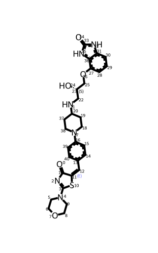 O=C1N=C(N2CCOCC2)S/C1=C/c1ccc(N2CCC(NC[C@H](O)COc3cccc4[nH]c(=O)[nH]c34)CC2)cc1